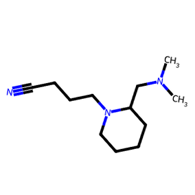 CN(C)CC1CCCCN1CCCC#N